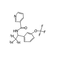 [2H]C([2H])([2H])C(NC(=O)c1cccnc1)c1cccc(OC(F)(F)F)c1